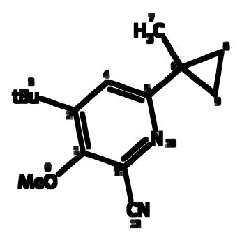 COc1c(C(C)(C)C)cc(C2(C)CC2)nc1C#N